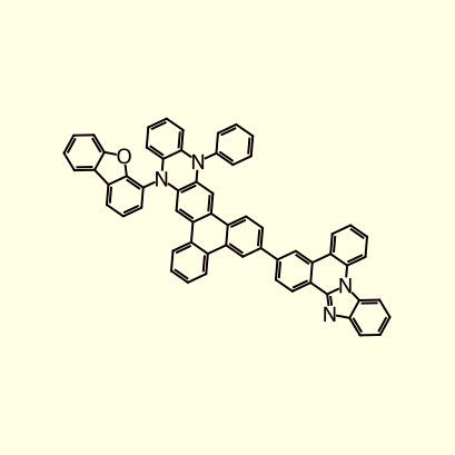 c1ccc(N2c3ccccc3N(c3cccc4c3oc3ccccc34)c3cc4c5ccccc5c5cc(-c6ccc7c(c6)c6ccccc6n6c8ccccc8nc76)ccc5c4cc32)cc1